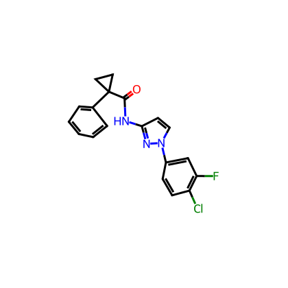 O=C(Nc1ccn(-c2ccc(Cl)c(F)c2)n1)C1(c2ccccc2)CC1